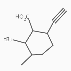 C#CC1CCC(C)C(C(C)(C)C)C1C(=O)O